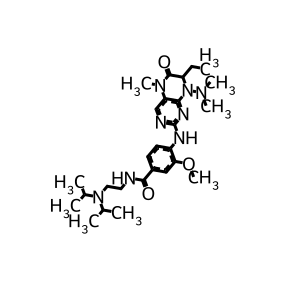 CCC1C(=O)N(C)c2cnc(Nc3ccc(C(=O)NCCN(C(C)C)C(C)C)cc3OC)nc2N1N(C)C